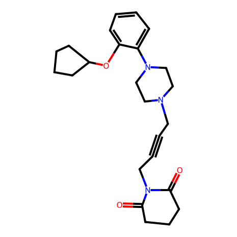 O=C1CCCC(=O)N1CC#CCN1CCN(c2ccccc2OC2CCCC2)CC1